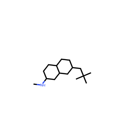 CNC1CCC2CCC(CC(C)(C)C)CC2C1